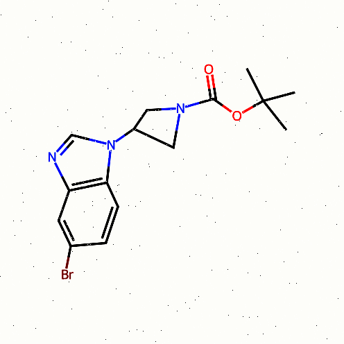 CC(C)(C)OC(=O)N1CC(n2cnc3cc(Br)ccc32)C1